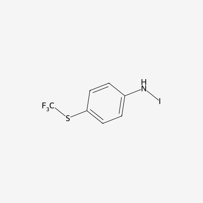 FC(F)(F)Sc1ccc(NI)cc1